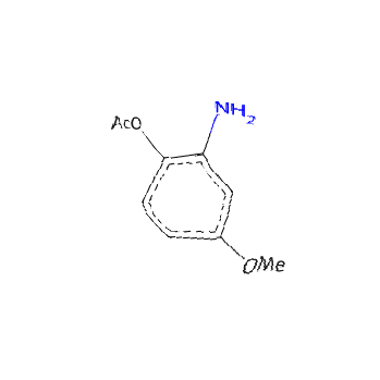 COc1ccc(OC(C)=O)c(N)c1